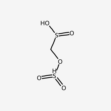 O=S(O)CO[SH](=O)=O